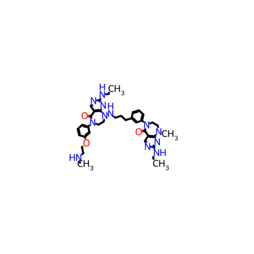 CCNc1ncc2c(n1)N(C)CCN(c1cccc(CCCNN3CCN(c4cccc(OCCNC)c4)C(=O)c4cnc(NCC)nc43)c1)C2=O